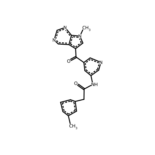 Cc1cccc(CC(=O)Nc2cncc(C(=O)c3cn(C)c4ncncc34)c2)c1